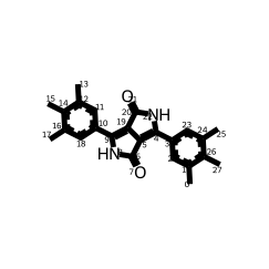 Cc1cc(C2=C3C(=O)NC(c4cc(C)c(C)c(C)c4)=C3C(=O)N2)cc(C)c1C